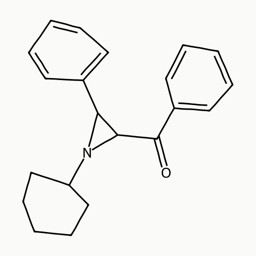 O=C(c1ccccc1)C1C(c2ccccc2)N1C1CCCCC1